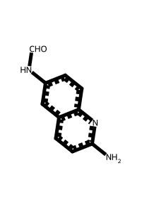 Nc1ccc2cc(NC=O)ccc2n1